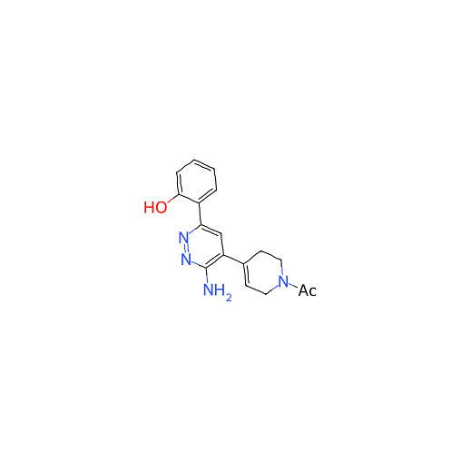 CC(=O)N1CC=C(c2cc(-c3ccccc3O)nnc2N)CC1